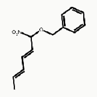 C/C=C/C=C/[C](OCc1ccccc1)[N+](=O)[O-]